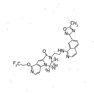 [2H]C1([2H])N(CCNc2nccc3ccc(-c4noc(C)n4)cc23)C(=O)c2cc3c(OCC(F)(F)F)nccc3n2C1([2H])[2H]